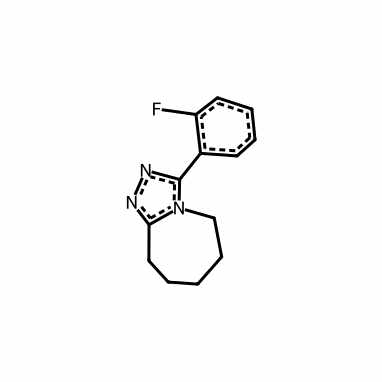 Fc1ccccc1-c1nnc2n1CCCCC2